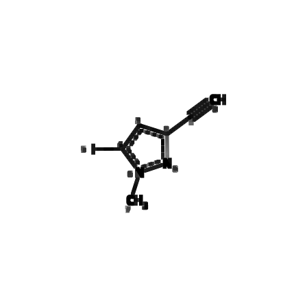 C#Cc1cc(I)n(C)n1